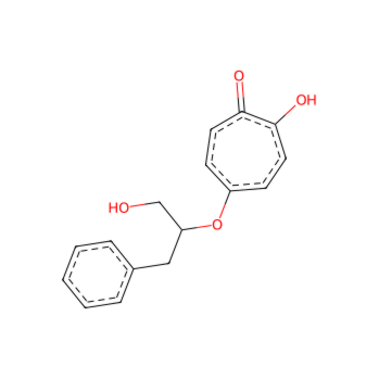 O=c1ccc(OC(CO)Cc2ccccc2)ccc1O